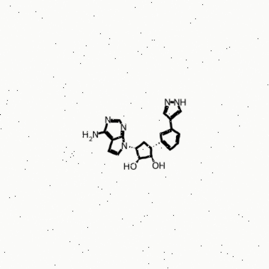 Nc1ncnc2c1ccn2[C@@H]1C[C@H](c2cccc(-c3cn[nH]c3)c2)[C@@H](O)[C@H]1O